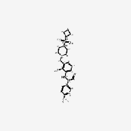 Cc1ccc(N(C=O)Nc2cccc(CN3CCN(S(=O)(=O)N4CCC4)CC3)c2F)cn1